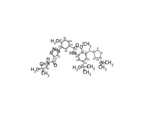 COc1c(CC2CC[C@H](N(C)C)C2)cc(C(C)(C)C)cc1NC(=O)c1ccc(C)c(-n2cc(C(=O)NCC(C)(C)C)nn2)c1